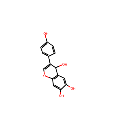 Oc1ccc(C2=COc3cc(O)c(O)cc3C2O)cc1